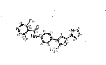 Cc1oc(-c2nccs2)cc1-c1ccc(NC(=O)c2c(F)cncc2F)cc1